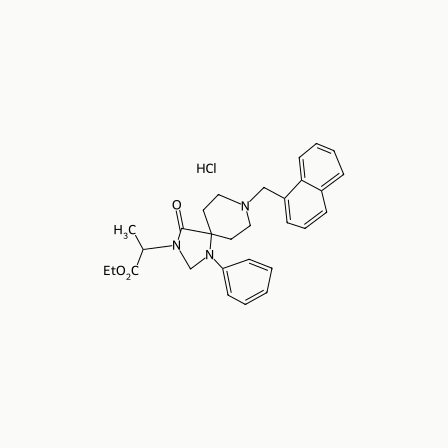 CCOC(=O)C(C)N1CN(c2ccccc2)C2(CCN(Cc3cccc4ccccc34)CC2)C1=O.Cl